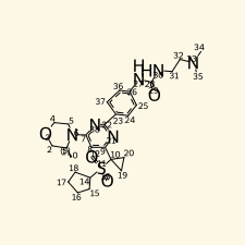 C[C@H]1COCCN1c1cc(C2(S(=O)(=O)C3CCCC3)CC2)nc(-c2ccc(NC(=O)NCCN(C)C)cc2)n1